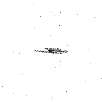 CCCCCCCCCCCCCCCCCC(CCCCCCCCCCCCCCCC)OS(=O)(=O)OC(C)CCCCCCCCCCCCCCCCO.CCCCCCCCCCCCCCC[CH2][Na]